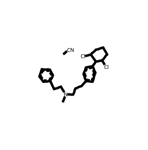 CC#N.CN(CCCc1ccc(C2C(Cl)CCCC2Cl)cc1)CCc1ccccc1